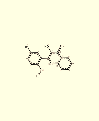 CCOc1ccc(Br)cc1-c1oc2ccccc2c(=O)c1O